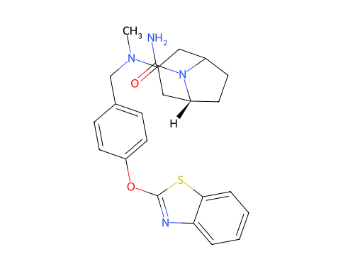 CN(Cc1ccc(Oc2nc3ccccc3s2)cc1)C1CC2CC[C@H](C1)N2C(N)=O